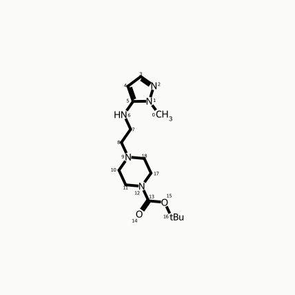 Cn1nccc1NCCN1CCN(C(=O)OC(C)(C)C)CC1